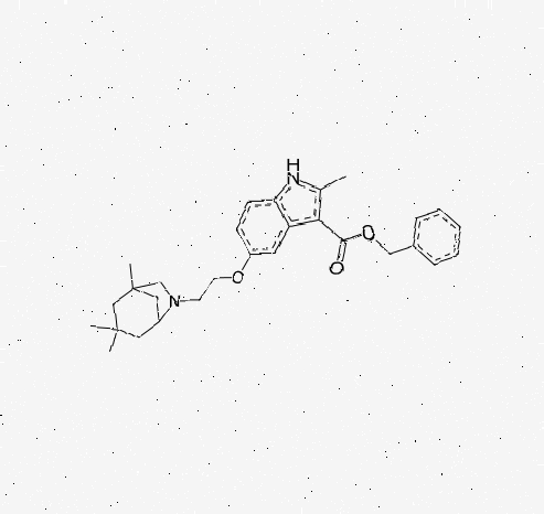 Cc1[nH]c2ccc(OCCN3CC4(C)CC3CC(C)(C)C4)cc2c1C(=O)OCc1ccccc1